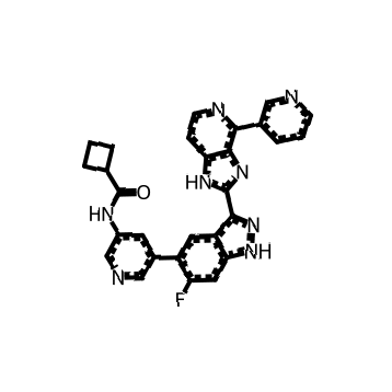 O=C(Nc1cncc(-c2cc3c(-c4nc5c(-c6cccnc6)nccc5[nH]4)n[nH]c3cc2F)c1)C1CCC1